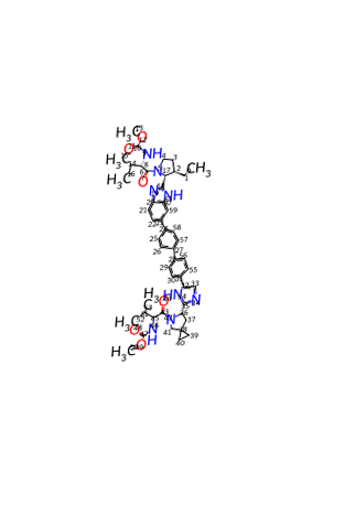 CC[C@@H]1CCN(C(=O)[C@@H](NC(=O)OC)C(C)C)[C@@H]1c1nc2ccc(-c3ccc(-c4ccc(-c5cnc([C@@H]6CC7(CC7)CN6C(=O)C(NC(=O)OC)C(C)C)[nH]5)cc4)cc3)cc2[nH]1